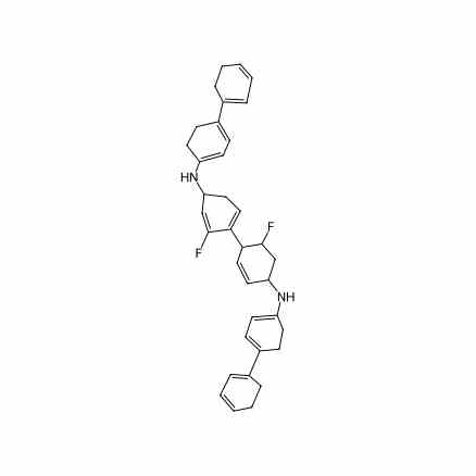 FC1=CC(NC2=CC=C(C3=CC=CCC3)CC2)CC=C1C1C=CC(NC2=CC=C(C3=CC=CCC3)CC2)CC1F